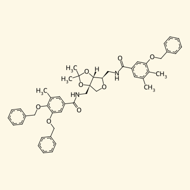 Cc1cc(C(=O)NC[C@H]2OC[C@]3(CNC(=O)c4cc(C)c(OCc5ccccc5)c(OCc5ccccc5)c4)OC(C)(C)O[C@H]23)cc(OCc2ccccc2)c1C